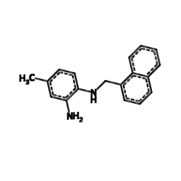 Cc1ccc(NCc2cccc3ccccc23)c(N)c1